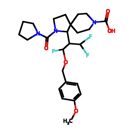 COc1ccc(COC(F)C(C(F)F)C2N(C(=O)N3CCCC3)CCC23CCN(C(=O)O)CC3)cc1